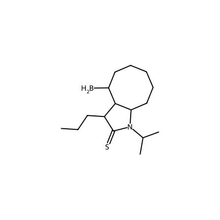 BC1CCCCCC2C1C(CCC)C(=S)N2C(C)C